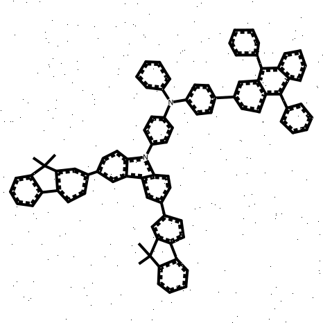 CC1(C)c2ccccc2-c2ccc(-c3ccc4c(c3)c3cc(-c5ccc6c(c5)C(C)(C)c5ccccc5-6)ccc3n4-c3ccc(N(c4ccccc4)c4ccc(-c5ccc6c(-c7ccccc7)c7ccccc7c(-c7ccccc7)c6c5)cc4)cc3)cc21